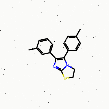 Cc1ccc(-c2c(-c3cccc(C)c3)nc3n2CCS3)cc1